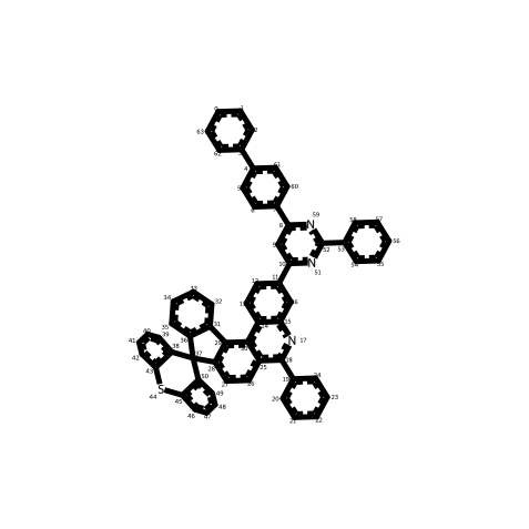 c1ccc(-c2ccc(-c3cc(-c4ccc5c(c4)nc(-c4ccccc4)c4ccc6c(c45)-c4ccccc4C64c5ccccc5Sc5ccccc54)nc(-c4ccccc4)n3)cc2)cc1